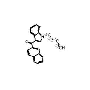 [13CH3][13CH2][13CH2][13CH2]n1cc(C(=O)c2ccc3ccccc3c2)c2ccccc21